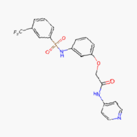 O=C(COc1cccc(NS(=O)(=O)c2cccc(C(F)(F)F)c2)c1)Nc1ccncc1